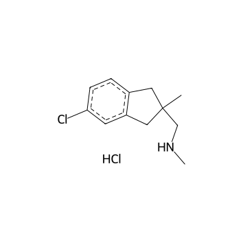 CNCC1(C)Cc2ccc(Cl)cc2C1.Cl